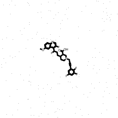 COc1ccc2ncc(F)c(C(F)CCC3CCN(CC#Cc4cc(F)cc(F)c4F)CC3C(=O)O)c2c1